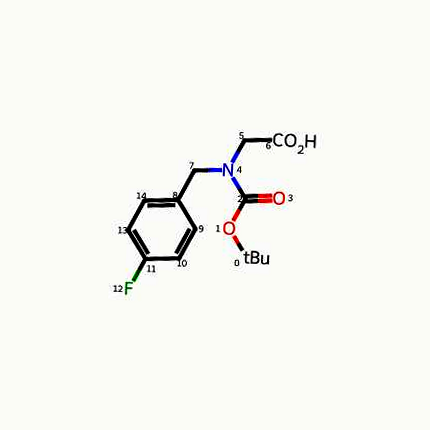 CC(C)(C)OC(=O)N(CC(=O)O)Cc1ccc(F)cc1